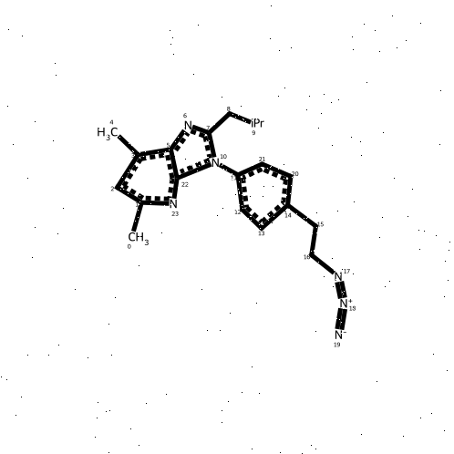 Cc1cc(C)c2nc(CC(C)C)n(-c3ccc(CCN=[N+]=[N-])cc3)c2n1